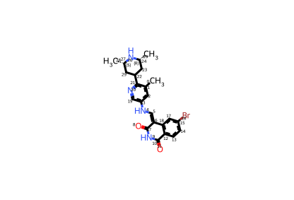 Cc1cc(NC=C2C(=O)NC(=O)c3ccc(Br)cc32)cnc1C1C[C@@H](C)N[C@@H](C)C1